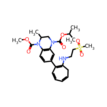 COC(=O)N1c2ccc(C3=C(NCCS(C)(=O)=O)CC=CC=C3)cc2N(C(=O)OC(C)C)CC1C